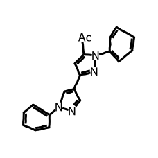 CC(=O)c1cc(-c2cnn(-c3ccccc3)c2)nn1-c1ccccc1